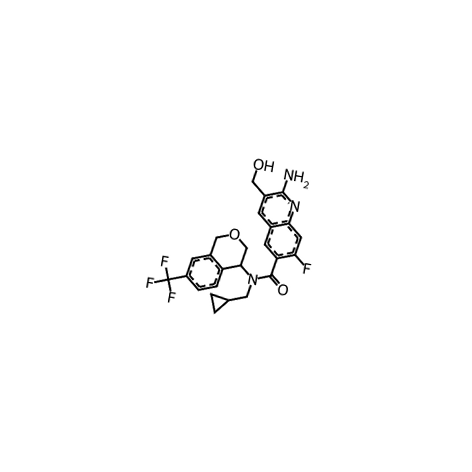 Nc1nc2cc(F)c(C(=O)N(CC3CC3)C3COCc4cc(C(F)(F)F)ccc43)cc2cc1CO